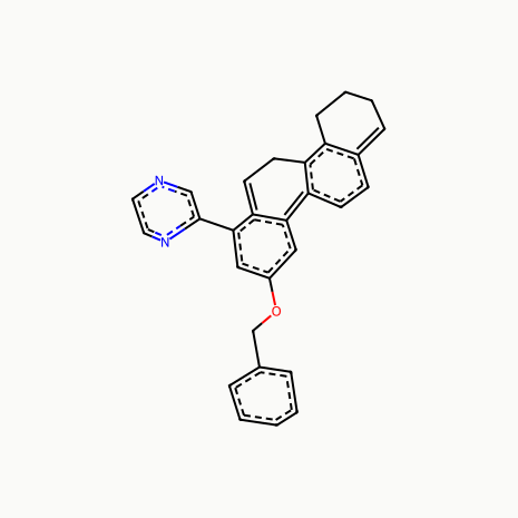 C1=c2ccc3c(c2CCC1)CC=c1c(-c2cnccn2)cc(OCc2ccccc2)cc1=3